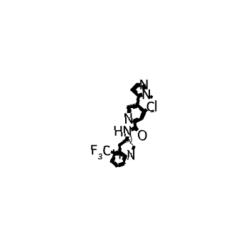 Cn1nccc1-c1cnc(C(=O)N[C@H](CN)Cc2ccccc2C(F)(F)F)cc1Cl